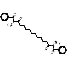 NN(C(=O)CCCCCCCCCCC(=O)N(N)C(=O)c1ccccc1)C(=O)c1ccccc1